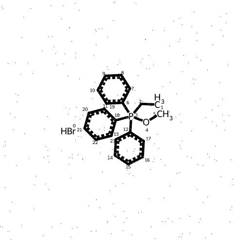 Br.CCP(OC)(c1ccccc1)(c1ccccc1)c1ccccc1